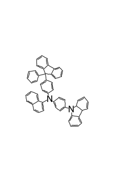 C1=CC2c3ccccc3N(c3ccc(N(c4ccc(C5(c6ccccc6)c6ccccc6-c6ccccc65)cc4)c4cccc5ccccc45)cc3)C2C=C1